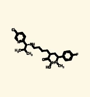 COC(CC(CCCCN[C@@H](c1ccc(Cl)cn1)C(C)C)C(=O)NO)c1ccc(F)cc1